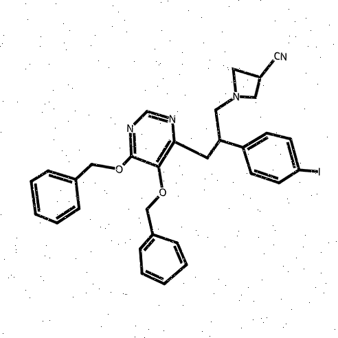 N#CC1CN(CC(Cc2ncnc(OCc3ccccc3)c2OCc2ccccc2)c2ccc(I)cc2)C1